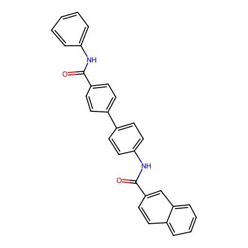 O=C(Nc1ccccc1)c1ccc(-c2ccc(NC(=O)c3ccc4ccccc4c3)cc2)cc1